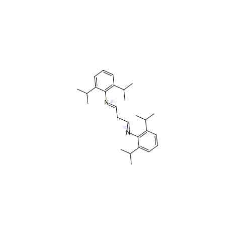 CC(C)c1cccc(C(C)C)c1/N=C/C/C=N/c1c(C(C)C)cccc1C(C)C